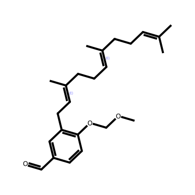 COCOc1ccc(C=O)cc1C/C=C(\C)CC/C=C(\C)CCC=C(C)C